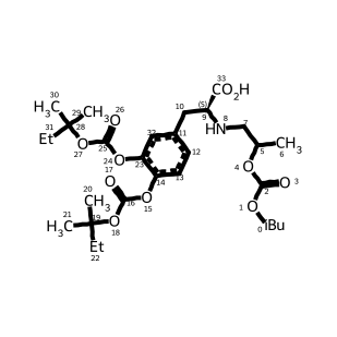 CCC(C)OC(=O)OC(C)CN[C@@H](Cc1ccc(OC(=O)OC(C)(C)CC)c(OC(=O)OC(C)(C)CC)c1)C(=O)O